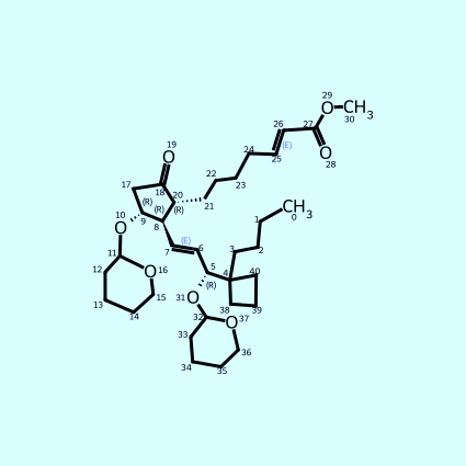 CCCCC1([C@@H](/C=C/[C@H]2[C@H](OC3CCCCO3)CC(=O)[C@@H]2CCCC/C=C/C(=O)OC)OC2CCCCO2)CCC1